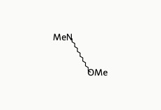 CNCCCCCCCCCCCCCCOC